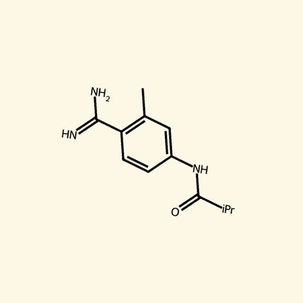 Cc1cc(NC(=O)C(C)C)ccc1C(=N)N